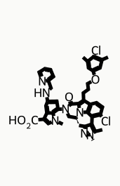 Cc1cc(OCCCc2c3n(c4c(-c5c(C)nn(C)c5C)c(Cl)ccc24)[C@H](C)CN(c2cc(NCc4ccccn4)cc4c(C(=O)O)cn(C)c24)C3=O)cc(C)c1Cl